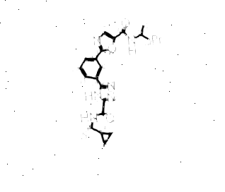 CC(C)C(C)NC(=O)c1cnc(-c2cccc(-c3nnc(C(=O)N[C@@H](C)C4CC4)[nH]3)c2)o1